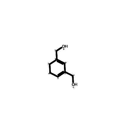 OCC1=CCCC(CO)=C1